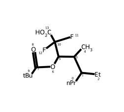 CCCC(CC)C(C)C(OC(=O)C(C)(C)C)C(F)(F)C(=O)O